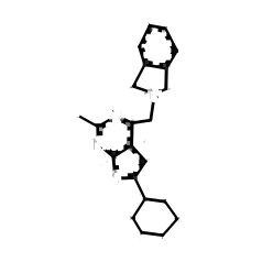 Cc1nc(CN2Cc3ccccc3C2)c2cc(C3CCCCC3)sc2n1